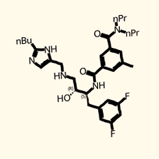 CCCCc1ncc(CNC[C@@H](O)[C@H](Cc2cc(F)cc(F)c2)NC(=O)c2cc(C)cc(C(=O)N(CCC)CCC)c2)[nH]1